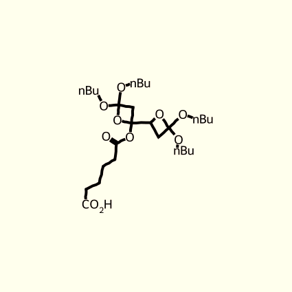 CCCCOC1(OCCCC)CC(C2(OC(=O)CCCCC(=O)O)CC(OCCCC)(OCCCC)O2)O1